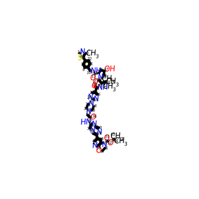 Cc1ncsc1-c1ccc(CNC(=O)[C@@H]2C[C@@H](O)CN2C(=O)[C@@H](NC(=O)c2cnc(N3CCN(CC(=O)Nc4cn5cc(-c6cnc7c(c6)N(C(=O)OC(C)C)CCO7)ncc5n4)CC3)nc2)C(C)(C)C)cc1